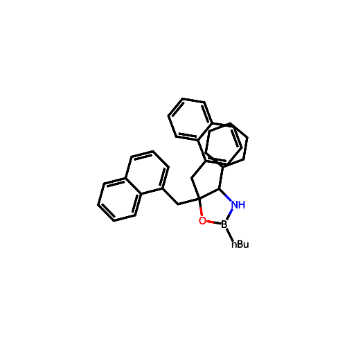 CCCCB1NC(C2CCCCC2)C(Cc2cccc3ccccc23)(Cc2cccc3ccccc23)O1